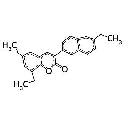 CCc1ccc2cc(-c3cc4cc(CC)cc(CC)c4oc3=O)ccc2c1